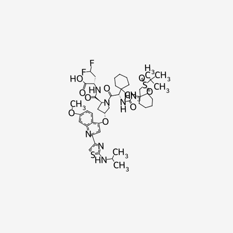 COc1ccc2c(O[C@@H]3C[C@@H](C(=O)N[C@@H](CC(F)F)C(=O)O)N(C(=O)[C@@H](NC(=O)NC4(CS(=O)(=O)C(C)(C)C)CCCCC4)C4(C)CCCCC4)C3)cc(-c3csc(NC(C)C)n3)nc2c1